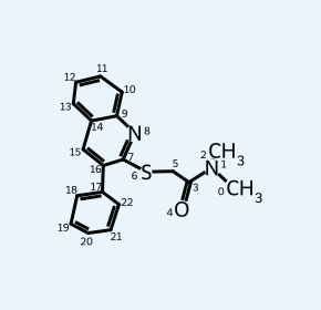 CN(C)C(=O)CSc1nc2ccccc2cc1-c1ccccc1